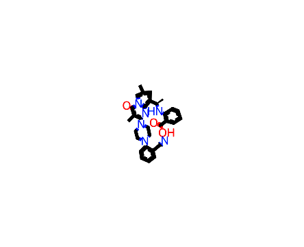 Cc1cc([C@@H](C)Nc2ccccc2C(=O)O)c2nc(N3CCN(c4ccccc4C#N)CC3)c(C)c(=O)n2c1